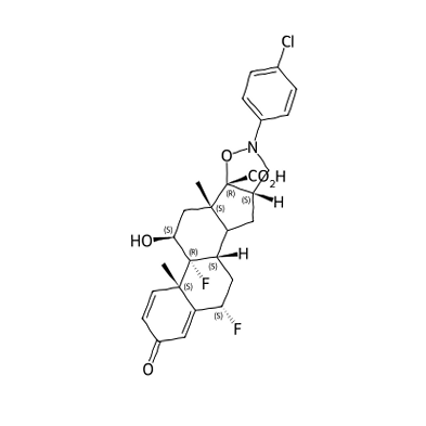 C[C@]12C=CC(=O)C=C1[C@@H](F)C[C@H]1C3C[C@H]4CN(c5ccc(Cl)cc5)O[C@@]4(C(=O)O)[C@@]3(C)C[C@H](O)[C@@]12F